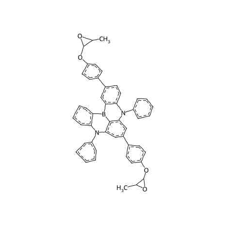 CC1OC1Oc1ccc(-c2ccc3c(c2)B2c4ccccc4N(c4ccccc4)c4cc(-c5ccc(OC6OC6C)cc5)cc(c42)N3c2ccccc2)cc1